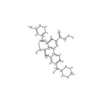 CCOC(=O)c1cc(-c2ccc(N(C)C3CCOCC3)nc2)c(C(=N)C(C)C)c(NC2=CCCC(F)=C2)n1